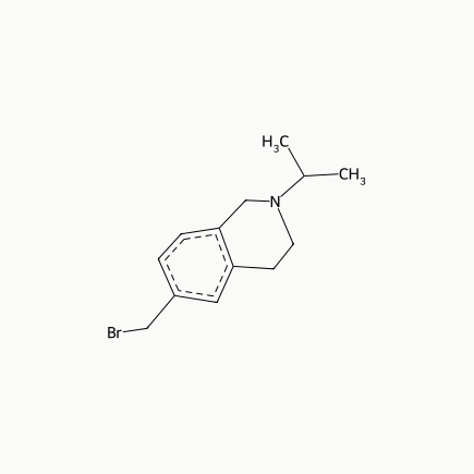 CC(C)N1CCc2cc(CBr)ccc2C1